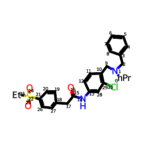 CCCN(Cc1ccccc1)Cc1ccc(NC(=O)Cc2ccc(S(=O)(=O)CC)cc2)cc1Cl